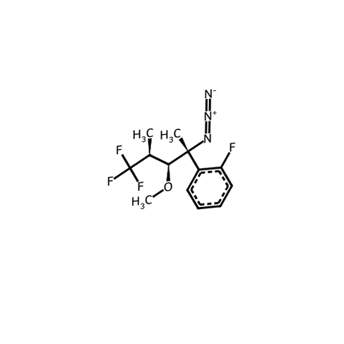 CO[C@@H]([C@H](C)C(F)(F)F)[C@](C)(N=[N+]=[N-])c1ccccc1F